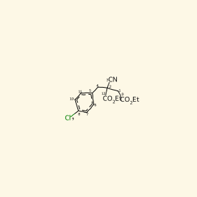 CCOC(=O)CC(C#N)(Cc1ccc(Cl)cc1)C(=O)OCC